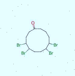 O=C1CCCC(Br)C(Br)CCC(Br)C(Br)CC1